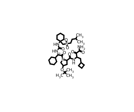 CC(C)CCS(=O)(=O)CC1(NC(=O)N[C@H](C(=O)N2CC(OC(C)(C)C)CC2C(=O)NC(CC2CCC2)C(=O)C(N)=O)C2CCCCC2)CCCCC1